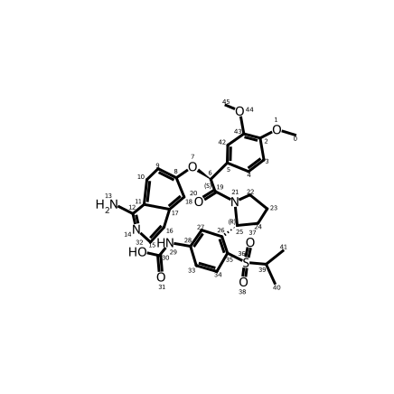 COc1ccc([C@H](Oc2ccc3c(N)nccc3c2)C(=O)N2CCC[C@@H]2c2cc(NC(=O)O)ccc2S(=O)(=O)C(C)C)cc1OC